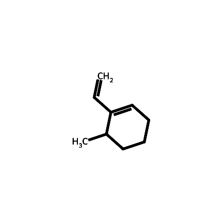 C=CC1=CCCCC1C